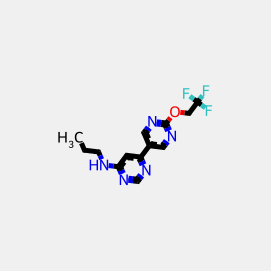 CCCNc1cc(-c2cnc(OCC(F)(F)F)nc2)ncn1